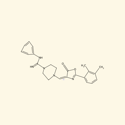 Cc1cccc(C2=N/C(=C/N3CCN(C(=N)Nc4ccccc4)CC3)C(=O)O2)c1C